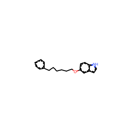 c1ccc(CCCCCCOc2ccc3[nH]ccc3c2)cc1